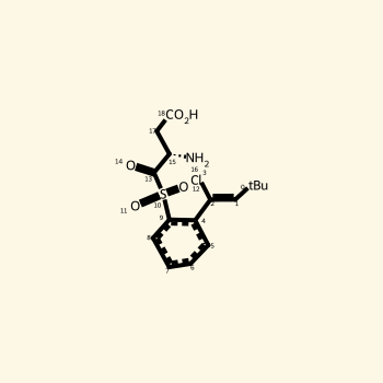 CC(C)(C)C=C(Cl)c1ccccc1S(=O)(=O)C(=O)[C@@H](N)CC(=O)O